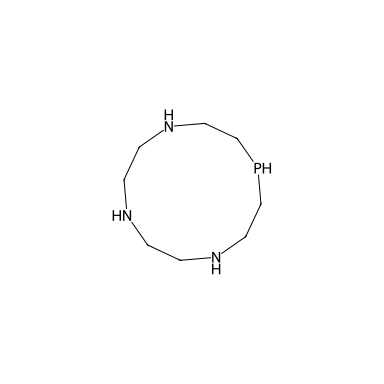 C1CNCCPCCNCCN1